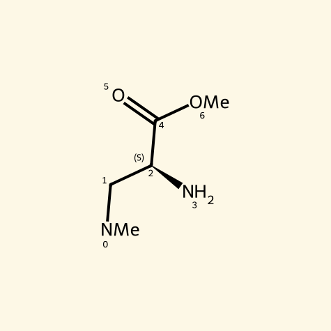 CNC[C@H](N)C(=O)OC